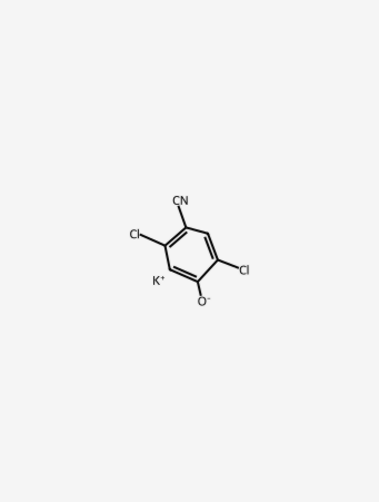 N#Cc1cc(Cl)c([O-])cc1Cl.[K+]